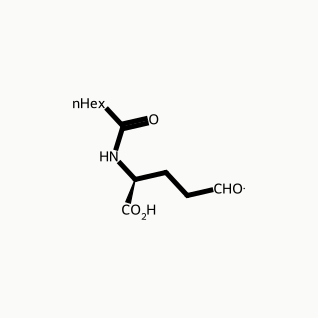 CCCCCCC(=O)N[C@@H](CC[C]=O)C(=O)O